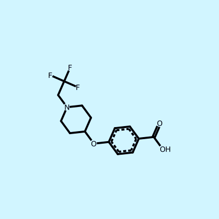 O=C(O)c1ccc(OC2CCN(CC(F)(F)F)CC2)cc1